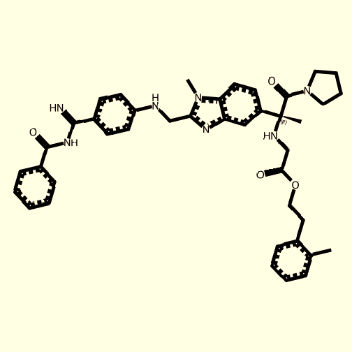 Cc1ccccc1CCOC(=O)CN[C@@](C)(C(=O)N1CCCC1)c1ccc2c(c1)nc(CNc1ccc(C(=N)NC(=O)c3ccccc3)cc1)n2C